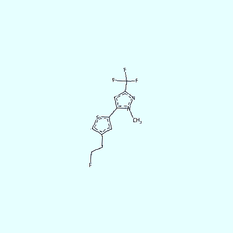 Cn1nc(C(F)(F)F)cc1-c1cc(CCF)[c]s1